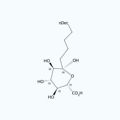 CCCCCCCCCCCCCC[C@@]1(O)O[C@H](C(=O)O)[C@@H](O)[C@H](O)[C@H]1O